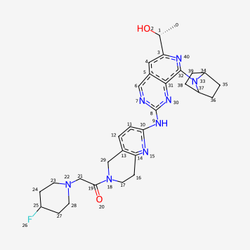 C[C@@H](O)c1cc2cnc(Nc3ccc4c(n3)CCN(C(=O)CN3CCC(F)CC3)C4)nc2c(N2C3CCC2CC3)n1